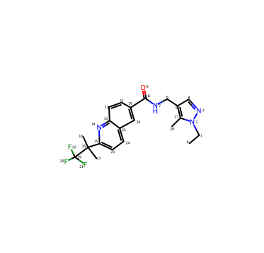 CCn1ncc(CNC(=O)c2ccc3nc(C(C)(C)C(F)(F)F)ccc3c2)c1C